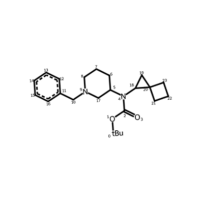 CC(C)(C)OC(=O)N(C1CCCN(Cc2ccccc2)C1)C1CC12CCC2